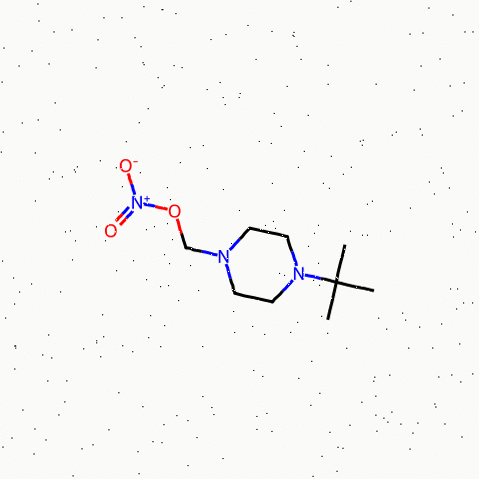 CC(C)(C)N1CCN(CO[N+](=O)[O-])CC1